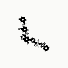 CC(NCCS(=O)(=O)c1ccccc1)c1nc(-c2cc3c(Nc4ccc(OCc5cccc(F)c5)c(Br)c4)ncnc3cc2F)cs1